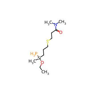 CCO[Si](C)(P)CCCSCCC(=O)N(C)C